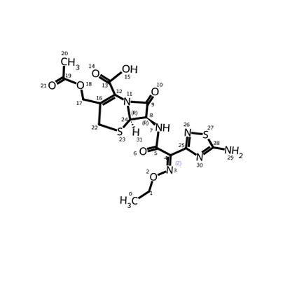 CCO/N=C(\C(=O)N[C@@H]1C(=O)N2C(C(=O)O)=C(COC(C)=O)CS[C@H]12)c1nsc(N)n1